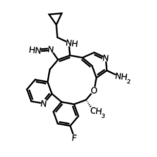 C[C@H]1Oc2cc(cnc2N)/C(NCC2CC2)=C(/N=N)Cc2cccnc2-c2ccc(F)cc21